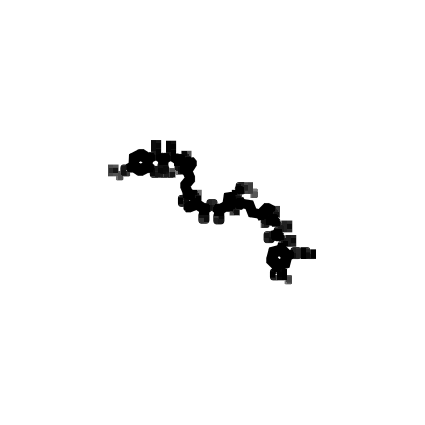 Cc1ccc(NC(=O)Nc2ncc(CCc3nc(C(=O)OC(=O)c4cn(C)c(CCc5cnc(NC(=O)Nc6ccc(C)cc6OCC(C)C)s5)n4)co3)s2)c(OCC(C)C)c1